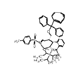 COC(=O)c1ccccc1[C@@H]1[C@@H](COC(c2ccccc2)(c2ccccc2)c2ccccc2)CN(S(=O)(=O)c2ccc(C)cc2)C[C@H]1O[Si](C(C)C)(C(C)C)C(C)C